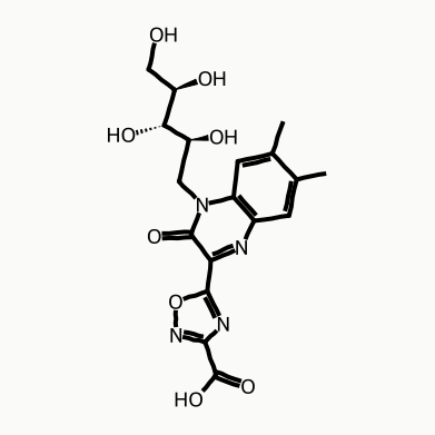 Cc1cc2nc(-c3nc(C(=O)O)no3)c(=O)n(C[C@H](O)[C@H](O)[C@H](O)CO)c2cc1C